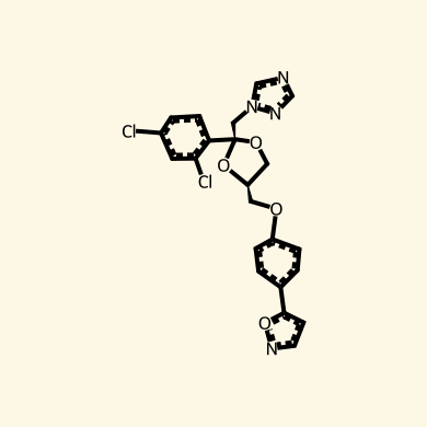 Clc1ccc([C@]2(Cn3cncn3)OC[C@@H](COc3ccc(-c4ccno4)cc3)O2)c(Cl)c1